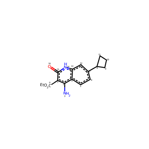 CCOC(=O)c1c(N)c2ccc(C3CCC3)cc2[nH]c1=O